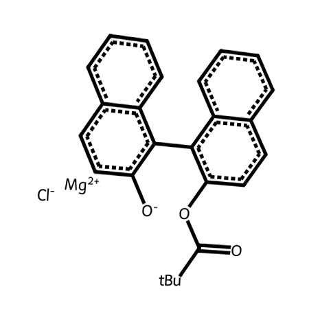 CC(C)(C)C(=O)Oc1ccc2ccccc2c1-c1c([O-])ccc2ccccc12.[Cl-].[Mg+2]